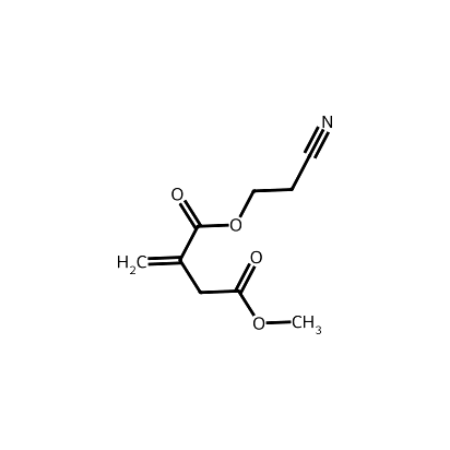 C=C(CC(=O)OC)C(=O)OCCC#N